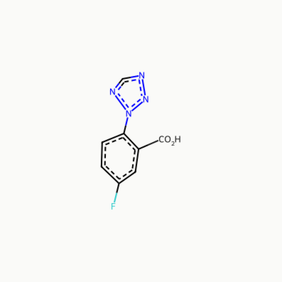 O=C(O)c1cc(F)ccc1-n1ncnn1